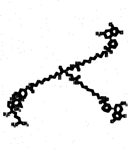 CC(C)CCC[C@@H](C)[C@H]1CC[C@H]2[C@@H]3CC=C4C[C@@H](OC(=O)NCCOCCOCCNC(=O)N(CCNC(=O)NCCOCCOCCNS(=O)(=O)c5cccc([C@@H]6CN(C)Cc7c(Cl)cc(Cl)cc76)c5)CCNC(=O)NCCOCCOCCNS(=O)(=O)c5cccc([C@@H]6CN(C)Cc7c(Cl)cc(Cl)cc76)c5)CC[C@]4(C)[C@H]3C3CC3[C@]12C